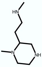 CNCCC1CNCCN1C